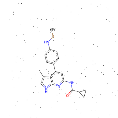 CCCSNc1ccc(-c2cc(NC(=O)C3CC3)nc3[nH]cc(C)c23)cc1